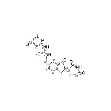 CCc1cccc(NC(=O)NCc2ccc3c(c2)C(=O)N(C2CCC(=O)NC2=O)C3)c1